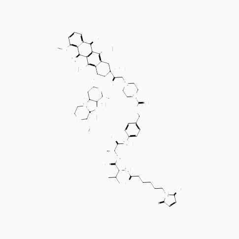 COc1cccc2c1C(=N)c1c(O)c3c(c(O)c1C2=O)C[C@@](O)(C(=O)CN1CCN(C(=O)OCc2ccc(NC(=O)[C@H](C)NC(=O)[C@@H](NC(=O)CCCCCN4C(=O)C=CC4=O)C(C)C)cc2)CC1)C[C@@H]3O[C@H]1C[C@H]2[C@H](O[C@@H]3[C@@H](OC)OCCN32)[C@H](C)O1